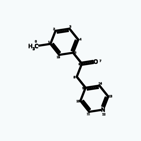 Cc1cccc(C(=O)Cc2ccncc2)c1